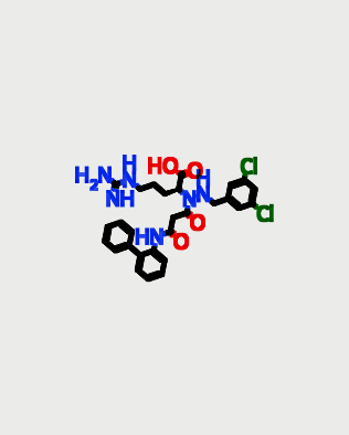 N=C(N)NCCC[C@@H](C(=O)O)N(NCc1cc(Cl)cc(Cl)c1)C(=O)CC(=O)Nc1ccccc1-c1ccccc1